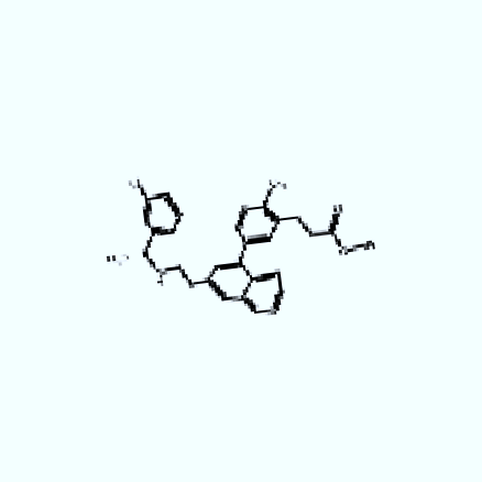 CC(C)OC(=O)CCc1cc(-c2cc(CCN[C@H](C)c3cccc(Cl)c3)cc3ccccc23)ccc1C(F)(F)F